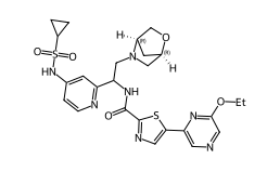 CCOc1cncc(-c2cnc(C(=O)NC(CN3C[C@H]4C[C@@H]3CO4)c3cc(NS(=O)(=O)C4CC4)ccn3)s2)n1